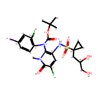 Cn1c(N(C(=O)OC(C)(C)C)c2ccc(I)cc2F)c(NS(=O)(=O)C2(CC(O)CO)CC2)cc(F)c1=O